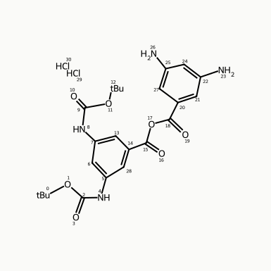 CC(C)(C)OC(=O)Nc1cc(NC(=O)OC(C)(C)C)cc(C(=O)OC(=O)c2cc(N)cc(N)c2)c1.Cl.Cl